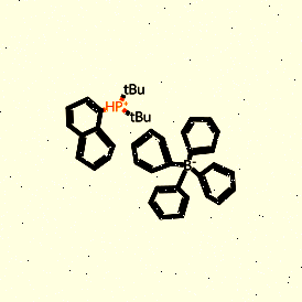 CC(C)(C)[PH+](c1cccc2ccccc12)C(C)(C)C.c1ccc([B-](c2ccccc2)(c2ccccc2)c2ccccc2)cc1